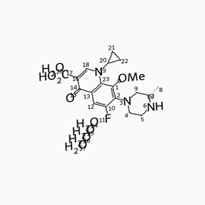 COc1c(N2CCN[C@@H](C)C2)c(F)cc2c(=O)c(C(=O)O)cn(C3CC3)c12.O.O.O.O.O